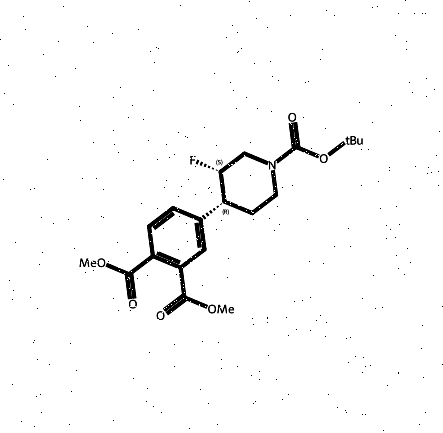 COC(=O)c1ccc([C@H]2CCN(C(=O)OC(C)(C)C)C[C@H]2F)cc1C(=O)OC